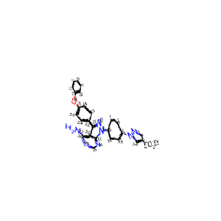 CCOC(=O)c1cnn([C@H]2CC[C@H](n3nc(-c4ccc(Oc5ccccc5)cc4)c4c(N)ncnc43)CC2)c1